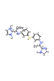 CC/C(=N\c1cccc(Sc2cccc(/N=C(\OC)c3n(C)cc[n+]3C)c2)c1)C1=NCCN1C